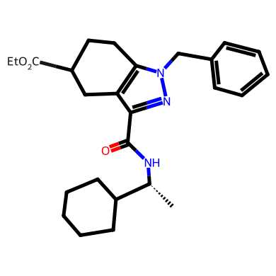 CCOC(=O)C1CCc2c(c(C(=O)N[C@H](C)C3CCCCC3)nn2Cc2ccccc2)C1